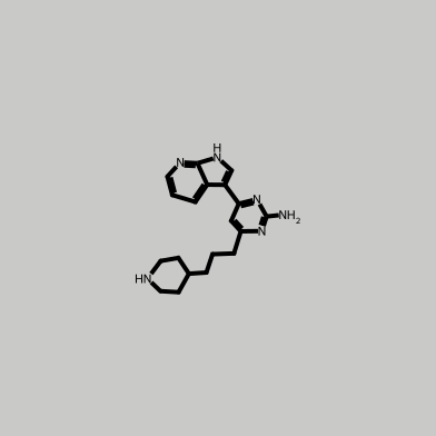 Nc1nc(CCCC2CCNCC2)cc(-c2c[nH]c3ncccc23)n1